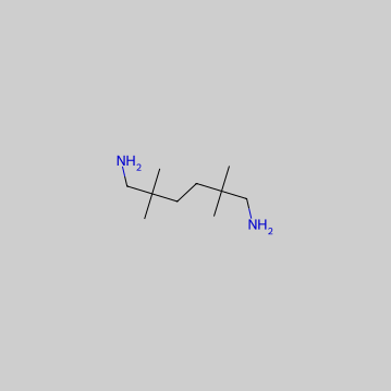 CC(C)(CN)CCC(C)(C)CN